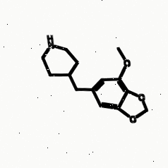 COc1cc(CC2CCNCC2)cc2c1OCO2